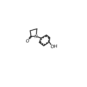 O=C1CCN1c1ccc(O)cc1